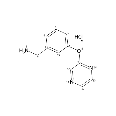 Cl.NCc1cccc(Oc2cnccn2)c1